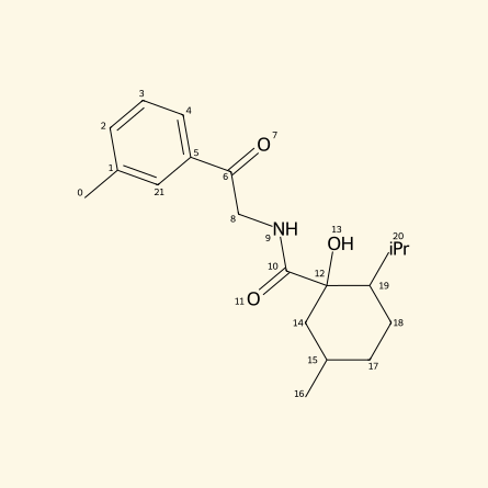 Cc1cccc(C(=O)CNC(=O)C2(O)CC(C)CCC2C(C)C)c1